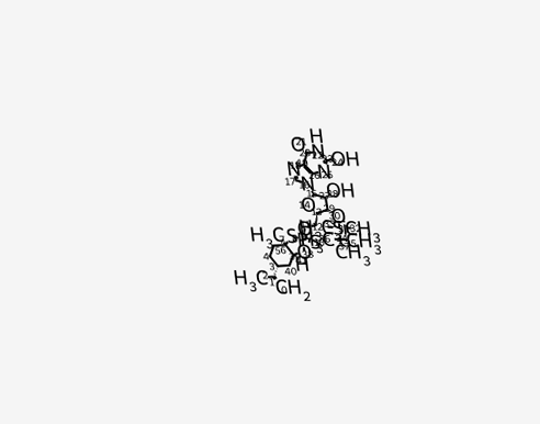 C=C(C)[C@@H]1CC[C@]2(C)SP(=S)(OC[C@H]3O[C@@H](n4cnc5c(=O)[nH]c(O)nc54)[C@H](O)[C@@H]3O[Si](C)(C)C(C)(C)C)O[C@H]2C1